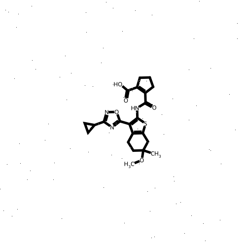 COC1(C)CCc2c(sc(NC(=O)C3=C(C(=O)O)CCC3)c2-c2nc(C3CC3)no2)C1